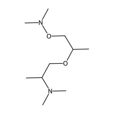 CC(CON(C)C)OCC(C)N(C)C